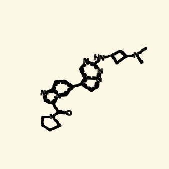 CN(C)[C@H]1C[C@@H](Nc2ncc3c(-c4ccc5ncc(C(=O)N6CCCC6)n5c4)ccn3n2)C1